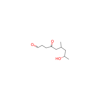 CC(O)CC(C)CC(=O)CCC=O